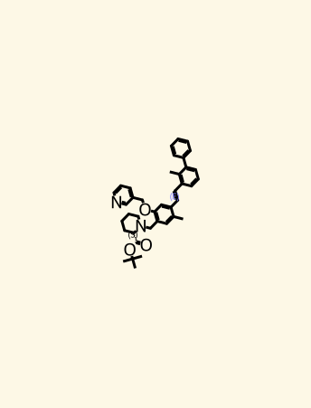 Cc1cc(CN2CCCC[C@H]2C(=O)OC(C)(C)C)c(OCc2cccnc2)cc1/C=C/c1cccc(-c2ccccc2)c1C